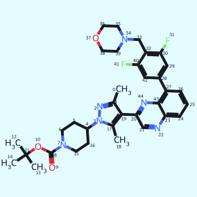 Cc1nn(C2CCN(C(=O)OC(C)(C)C)CC2)c(C)c1-c1cnc2cccc(-c3cc(F)c(CN4CCOCC4)c(F)c3)c2n1